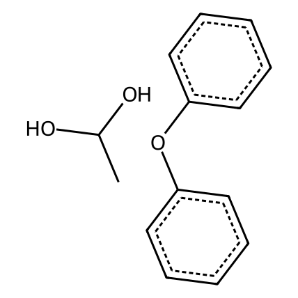 CC(O)O.c1ccc(Oc2ccccc2)cc1